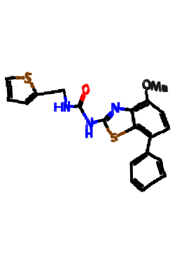 COc1ccc(-c2ccccc2)c2sc(NC(=O)NCc3cccs3)nc12